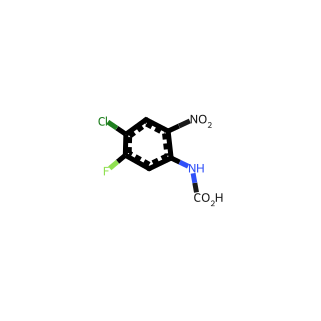 O=C(O)Nc1cc(F)c(Cl)cc1[N+](=O)[O-]